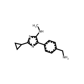 CNc1sc(C2CC2)nc1-c1ccc(CN)cc1